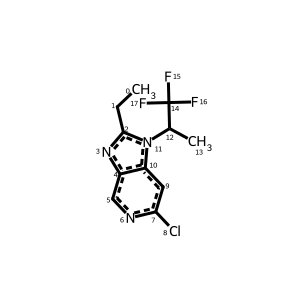 CCc1nc2cnc(Cl)cc2n1C(C)C(F)(F)F